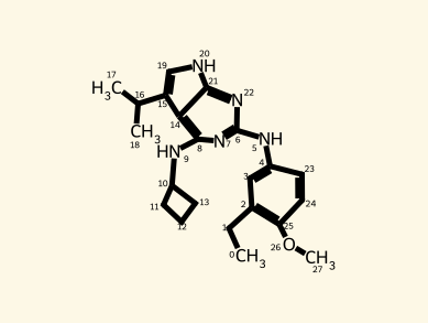 CCc1cc(Nc2nc(NC3CCC3)c3c(C(C)C)c[nH]c3n2)ccc1OC